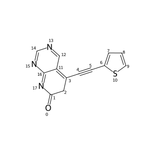 O=C1CC(C#Cc2cccs2)=c2cncnc2=N1